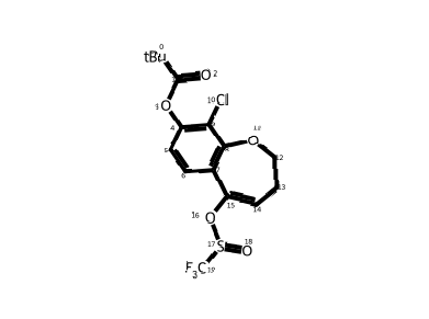 CC(C)(C)C(=O)Oc1ccc2c(c1Cl)OCCC=C2OS(=O)C(F)(F)F